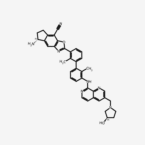 Cc1c(Nc2nccc3cc(CN4CC[C@@H](O)C4)cnc23)cccc1-c1cccc(-c2nc3cc4c(c(C#N)c3o2)CC[C@H]4N)c1C